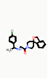 CC(NCC(=O)N1CCC2(CC1)OCc1ccccc12)c1ccc(Cl)cc1